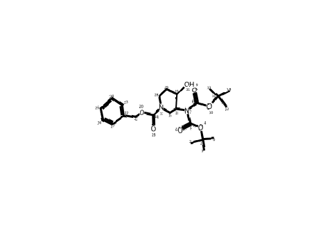 CC(C)(C)OC(=O)N(C(=O)OC(C)(C)C)C1CN(C(=O)OCc2ccccc2)CCC1O